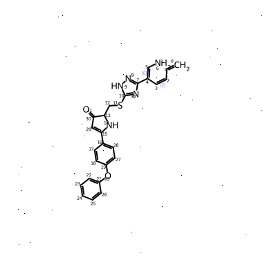 C=C/C=C\C(=C/N)c1n[nH]c(SCC2NC(c3ccc(Oc4ccccc4)cc3)=CC2=O)n1